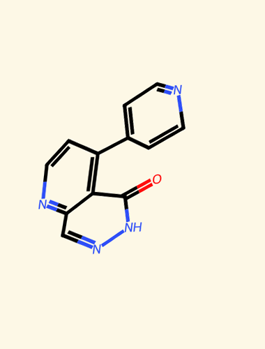 O=c1[nH]ncc2nccc(-c3ccncc3)c12